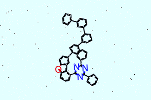 c1ccc(-c2cccc(-c3cccc(-c4ccc(-c5ccc6oc7cccc(-c8nc(-c9ccccc9)nc(-c9ccccc9)n8)c7c6c5)cc4)c3)c2)cc1